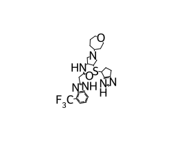 O=C(Cc1nc2c(C(F)(F)F)cccc2[nH]1)NC1CN(C2CCCOCC2)C[C@@H]1SC1CCc2nc[nH]c21